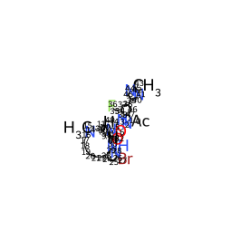 CC(=O)c1nn(CC(=O)N2[C@H]3C[C@]4(C[C@@H]24)CN(C)CCCCC=CCc2ccc(Br)nc2NC3=O)c2c(CF)cc(-c3cnc(C)nc3)cc12